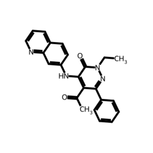 CCn1nc(-c2ccccc2)c(C(C)=O)c(Nc2ccc3cccnc3c2)c1=O